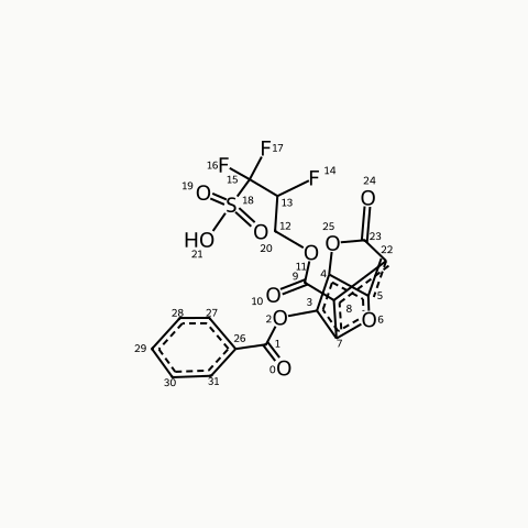 O=C(Oc1c2c3oc1c(C(=O)OCC(F)C(F)(F)S(=O)(=O)O)c3C(=O)O2)c1ccccc1